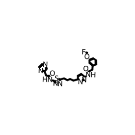 O=C(Cc1cccc(OCF)c1)Nc1ccc(CCCCc2nnc(NC(=O)Cc3cnccn3)s2)nn1